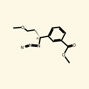 COCC[C@@H](N=[N+]=[N-])c1cccc(C(=O)OC)c1